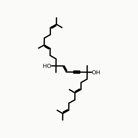 CC(C)=CCC/C(C)=C/CCC(C)(O)C#C/C=C/C(C)(O)CC/C=C(\C)CCC=C(C)C